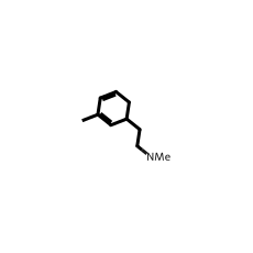 CNCCC1C=C(C)C=CC1